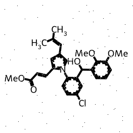 COC(=O)C=Cc1cc(C=C(C)C)cn1-c1ccc(Cl)cc1C(O)c1cccc(OC)c1OC